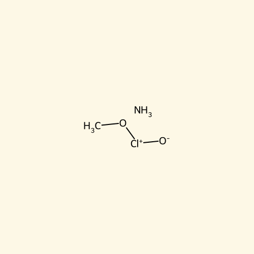 CO[Cl+][O-].N